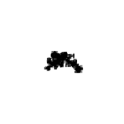 CSCC[C@H](NC=O)C(=O)N[C@@H](CC(C)C)C(=O)N[C@@H](Cc1ccccc1)C(=O)N[C@@H](CCCCNC(=O)OCc1ccccc1)C(=O)O